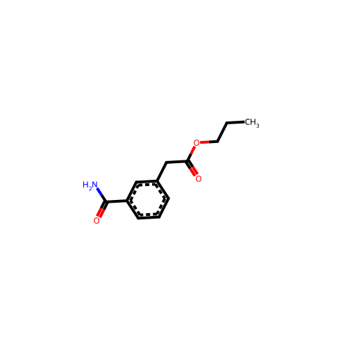 CCCOC(=O)Cc1cccc(C(N)=O)c1